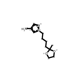 CC1(CCCCn2cc(N)cn2)OCCO1